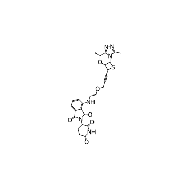 Cc1nnc2n1C1S[C@@H](C#CCOCCNc3cccc4c3C(=O)N(C3CCC(=O)NC3=O)C4=O)C1O[C@H]2C